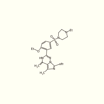 C=C1NC(c2cc(S(=O)(=O)N3CCN(CC)CC3)ccc2OCC)=Nn2c(CCC)nc(C)c21